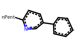 CCCCCc1ccc(-c2cc[c]cc2)cn1